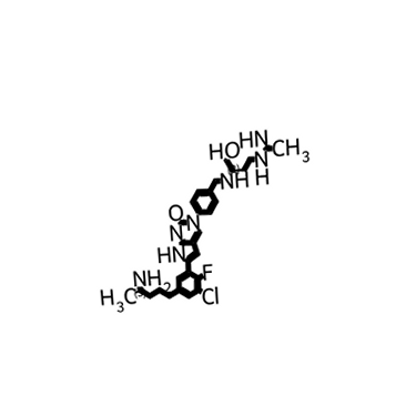 CC(=N)NCC[C@H](CO)NCc1ccc(-n2cc3cc(-c4cc(CCC[C@H](C)N)cc(Cl)c4F)[nH]c3nc2=O)cc1